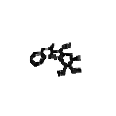 CC(Cc1ccccc1)C(N)C(O)c1cc(O)c(O)c(Cl)c1